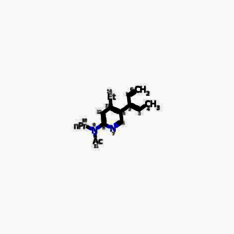 C=C/C(=C\C)c1cnc(N(CCC)C(C)=O)cc1CC